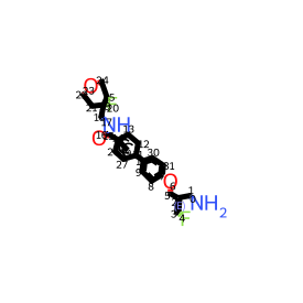 NC/C(=C\F)COc1ccc(C23CCC(C(=O)NCC4(F)CCOCC4)(CC2)CC3)cc1